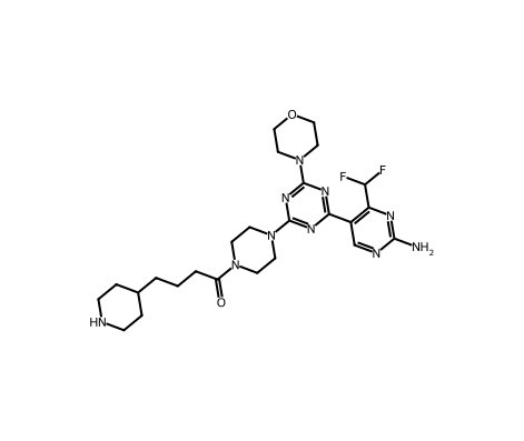 Nc1ncc(-c2nc(N3CCOCC3)nc(N3CCN(C(=O)CCCC4CCNCC4)CC3)n2)c(C(F)F)n1